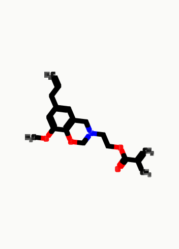 C=CCc1cc2c(c(OC)c1)OCN(CCOC(=O)C(=C)C)C2